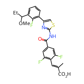 CCC(OC)c1cccc(-c2csc(NC(=O)c3cc(F)c(/C=C(\C)C(=O)O)c(F)c3)n2)c1F